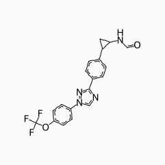 O=CNC1CC1c1ccc(-c2ncn(-c3ccc(OC(F)(F)F)cc3)n2)cc1